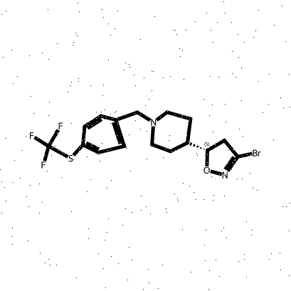 FC(F)(F)Sc1ccc(CN2CCC([C@@H]3CC(Br)=NO3)CC2)cc1